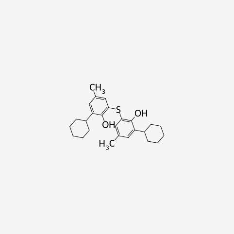 Cc1cc(Sc2cc(C)cc(C3CCCCC3)c2O)c(O)c(C2CCCCC2)c1